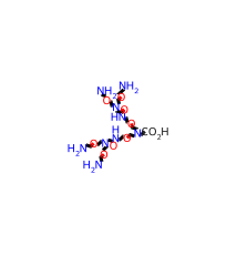 NCCOCCN(CCOCCN)CC(=O)NCCOCCN(CCOCCNC(=O)CN(CCOCCN)CCOCCN)CC(=O)O